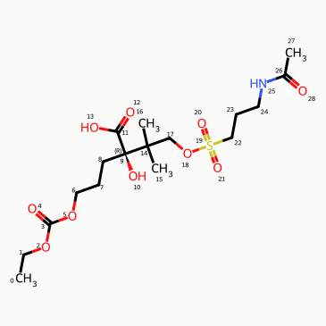 CCOC(=O)OCCC[C@](O)(C(=O)O)C(C)(C)COS(=O)(=O)CCCNC(C)=O